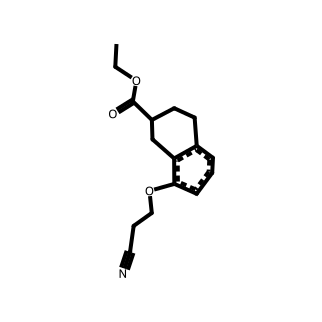 CCOC(=O)C1CCc2cccc(OCCC#N)c2C1